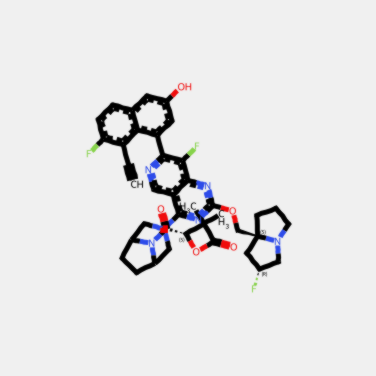 C#Cc1c(F)ccc2cc(O)cc(-c3ncc4c(N5CC6CCC(C5)N6C(=O)[C@H]5OC(=O)C5(C)C)nc(OC[C@@]56CCCN5C[C@H](F)C6)nc4c3F)c12